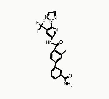 Cc1cc(-c2cccc(C(N)=O)c2)ccc1C(=O)Nc1cnc(-n2nccn2)c(C(F)(F)F)c1